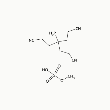 COS(=O)(=O)O.N#CCCC(P)(CCC#N)CCC#N